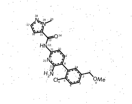 COCc1ccc(Cl)c(-c2ccc(NC(=O)c3ccnn3C)nc2N)c1